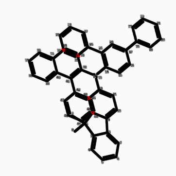 CC1(C)c2ccccc2-c2ccc(N(c3ccc(-c4ccccc4)cc3-c3ccccc3)c3ccc4ccccc4c3-c3ccccc3)cc21